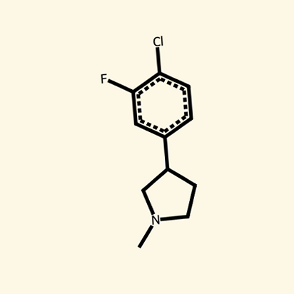 CN1CCC(c2ccc(Cl)c(F)c2)C1